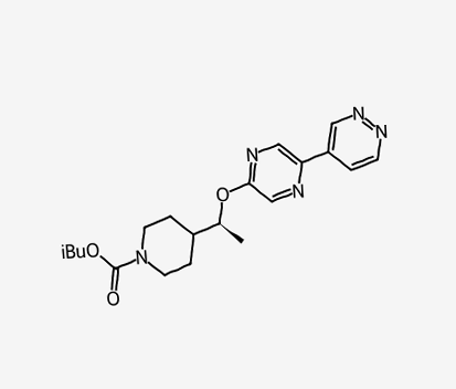 CC(C)COC(=O)N1CCC([C@H](C)Oc2cnc(-c3ccnnc3)cn2)CC1